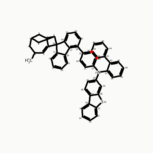 CC1C=C2C3CC(C1)CC3C21c2ccccc2-c2c(-c3ccc(N(c4ccc5c(c4)sc4ccccc45)c4ccccc4-c4ccccc4)cc3)cccc21